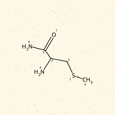 CSCC(N)C(N)=O